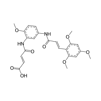 COc1cc(OC)c(C=CC(=O)Nc2ccc(OC)c(NC(=O)C=CC(=O)O)c2)c(OC)c1